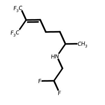 CC(CCC=C(C(F)(F)F)C(F)(F)F)NCC(F)F